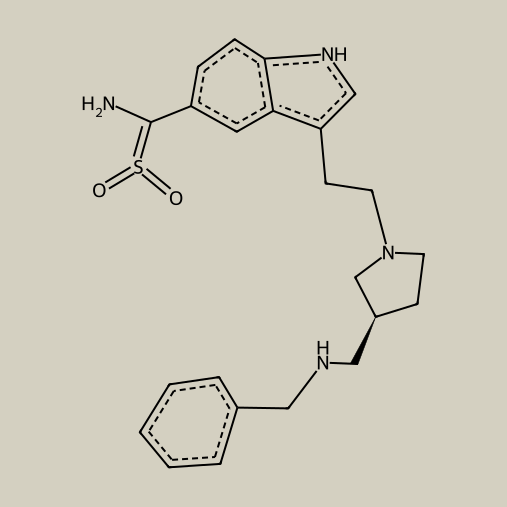 NC(c1ccc2[nH]cc(CCN3CC[C@@H](CNCc4ccccc4)C3)c2c1)=S(=O)=O